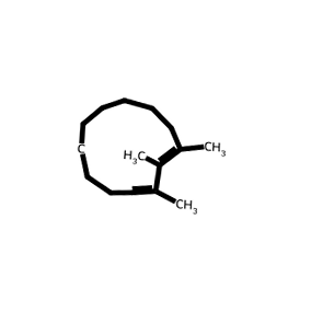 CC1=C/CCCCCCCC\C(C)=C\1C